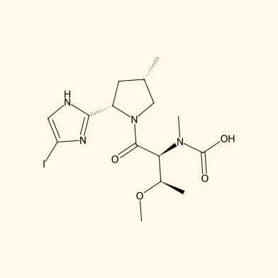 CO[C@H](C)[C@@H](C(=O)N1C[C@@H](C)C[C@H]1c1nc(I)c[nH]1)N(C)C(=O)O